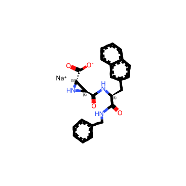 O=C(NCc1ccccc1)[C@H](Cc1ccc2ccccc2c1)NC(=O)[C@H]1N[C@@H]1C(=O)[O-].[Na+]